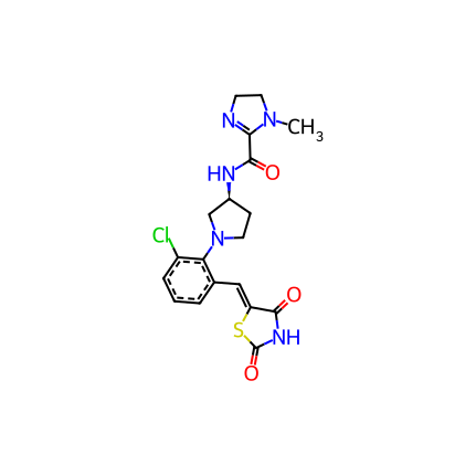 CN1CCN=C1C(=O)N[C@H]1CCN(c2c(Cl)cccc2/C=C2\SC(=O)NC2=O)C1